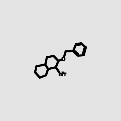 CCCC1C(OCc2ccccc2)CCC2CCCCC21